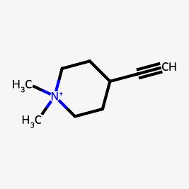 C#CC1CC[N+](C)(C)CC1